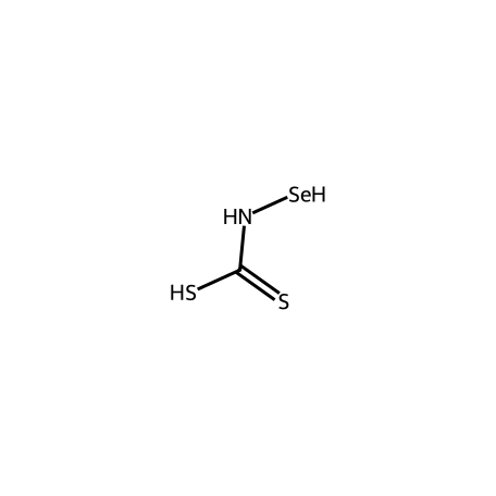 S=C(S)N[SeH]